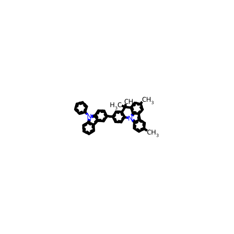 Cc1ccc2c(c1)c1cc(C)cc3c1n2-c1ccc(-c2ccc4c(c2)c2ccccc2n4-c2ccccc2)cc1C3(C)C